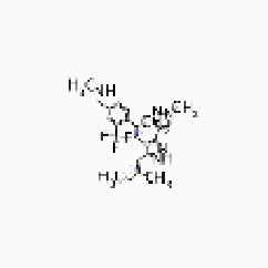 CC/C(C)=C/c1[nH]nc(-c2cnn(C)c2)c1/C=C(\C)c1ccc(CNC)cc1C(F)(F)F